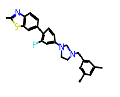 Cc1cc(C)cc(CN2CCN(c3ccc(-c4ccc5nc(C)sc5c4)c(F)c3)C2)c1